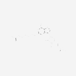 N=C(N)NCCCCNc1nc(S)c2ncn(C3O[C@H](COP(=O)(O)O)[C@H](O)C3O)c2n1